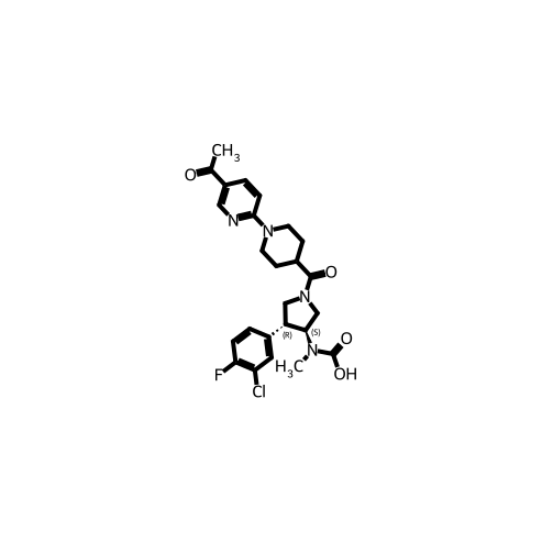 CC(=O)c1ccc(N2CCC(C(=O)N3C[C@@H](N(C)C(=O)O)[C@H](c4ccc(F)c(Cl)c4)C3)CC2)nc1